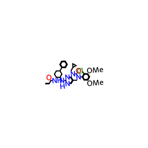 C=CC(=O)NC1CCC(c2ccccc2)CC1Nc1ncc2c(n1)N(CC1CC1)C(=O)N(c1cc(OC)cc(OC)c1Cl)C2